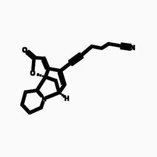 N#CCCCC#CC1=C[C@@H]2C[C@@]3(OC(=O)C=C13)C1CCCCN12